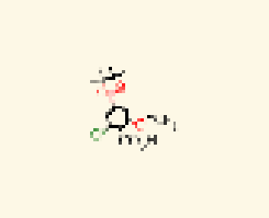 CC1(C)OB(c2cc(Cl)c(C(=O)O)c(OCC(F)(F)F)c2)OC1(C)C